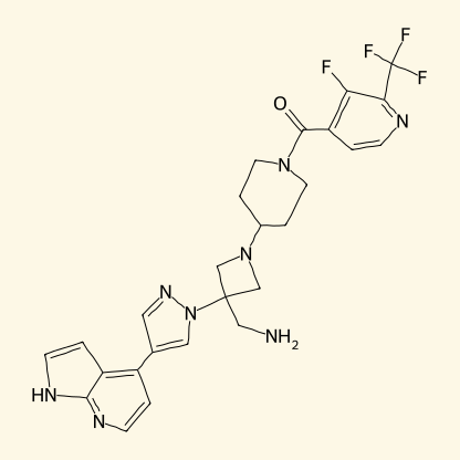 NCC1(n2cc(-c3ccnc4[nH]ccc34)cn2)CN(C2CCN(C(=O)c3ccnc(C(F)(F)F)c3F)CC2)C1